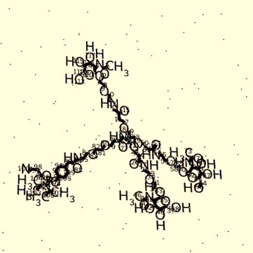 CC(=O)N[C@H]1[C@H](OCCOCCNCC(=O)CCOCC(COCCC(=O)NCCOCCO[C@@H]2O[C@H](CO)[C@H](O)[C@H](O)[C@H]2NC(C)=O)(COCCC(=O)NCCOCCO[C@@H]2O[C@H](CO)[C@H](O)[C@H](O)[C@H]2NC(C)=O)NC(=O)CCOCCOCCNC(=O)CC2CCC(OP(OCCC#N)N(C(C)C)C(C)C)CC2)O[C@H](CO)[C@H](O)[C@@H]1O